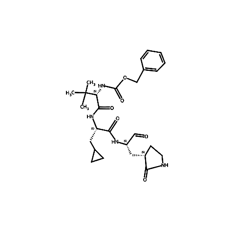 CC(C)(C)[C@H](NC(=O)OCc1ccccc1)C(=O)N[C@@H](CC1CC1)C(=O)N[C@H](C=O)C[C@@H]1CCNC1=O